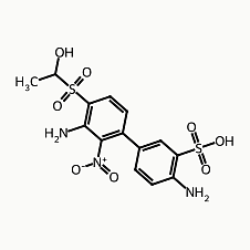 CC(O)S(=O)(=O)c1ccc(-c2ccc(N)c(S(=O)(=O)O)c2)c([N+](=O)[O-])c1N